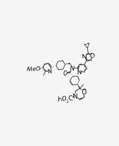 COc1ccc([C@H]2CC[C@H](CN(c3cc(-c4coc(C5CC5)n4)ccn3)C(=O)[C@H]3CC[C@H](C4(C)CN(C(=O)O)CCO4)CC3)CC2)nc1C